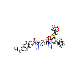 Cc1ccc(OCC(=O)NCCCCC(=O)N[C@@H](CCc2ccccc2)C(=O)CSCc2ccco2)cc1